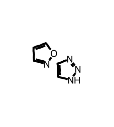 c1c[nH]nn1.c1cnoc1